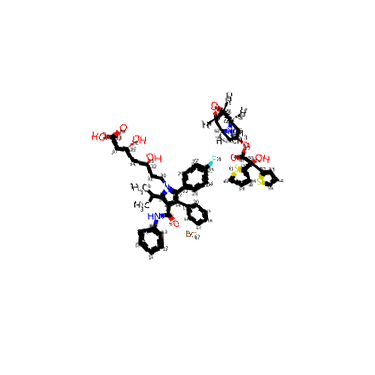 CC(C)c1c(C(=O)Nc2ccccc2)c(-c2ccccc2)c(-c2ccc(F)cc2)n1CC[C@@H](O)C[C@@H](O)CC(=O)O.C[N+]1(C)[C@@H]2C[C@@H](OC(=O)C(O)(c3cccs3)c3cccs3)C[C@H]1[C@@H]1O[C@@H]12.[Br-]